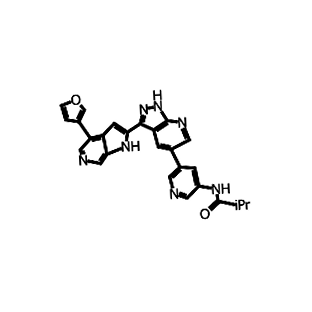 CC(C)C(=O)Nc1cncc(-c2cnc3[nH]nc(-c4cc5c(-c6ccoc6)cncc5[nH]4)c3c2)c1